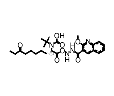 CCC(=O)CCCCC[C@@H](C(=O)ONNC(=O)c1cc2ccccc2nc1OC)N(C(=O)O)C(C)(C)C